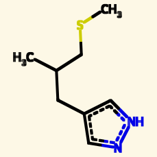 CSCC(C)Cc1cn[nH]c1